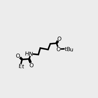 CCC(=O)C(=O)NCCCCC(=O)OC(C)(C)C